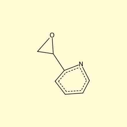 c1ccc(C2CO2)nc1